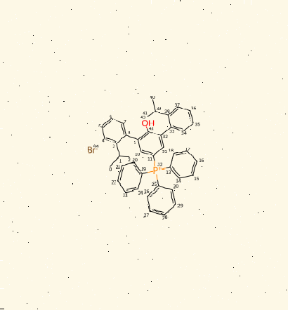 CC(C)c1ccccc1-c1cc([P+](c2ccccc2)(c2ccccc2)c2ccccc2)cc(-c2ccccc2C(C)C)c1O.[Br-]